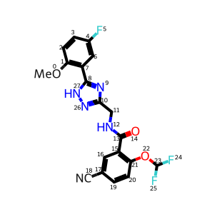 COc1ccc(F)cc1-c1nc(CNC(=O)c2cc(C#N)ccc2OC(F)F)n[nH]1